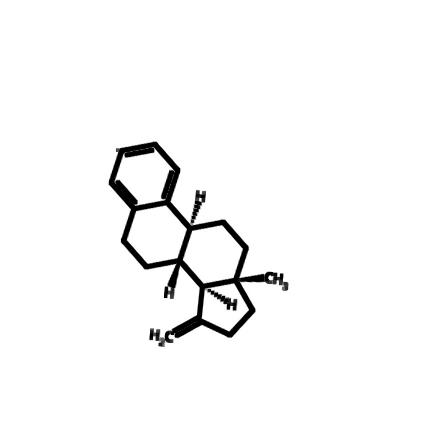 C=C1CC[C@@]2(C)CC[C@@H]3c4cc[c]cc4CC[C@H]3[C@H]12